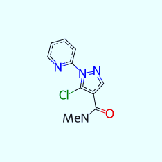 CNC(=O)c1cnn(-c2ccccn2)c1Cl